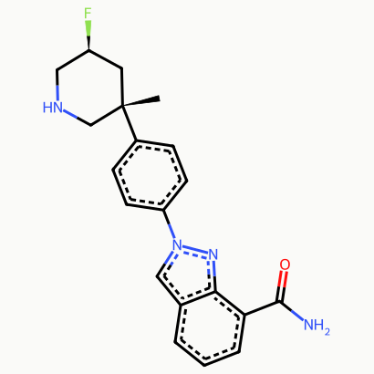 C[C@@]1(c2ccc(-n3cc4cccc(C(N)=O)c4n3)cc2)CNC[C@@H](F)C1